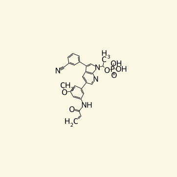 C=CC(=O)Nc1cc(OC)cc(-c2cnc3c(c2)c(-c2cccc(C#N)c2)cn3C(C)OP(=O)(O)O)c1